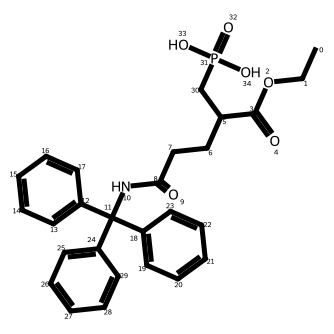 CCOC(=O)C(CCC(=O)NC(c1ccccc1)(c1ccccc1)c1ccccc1)CP(=O)(O)O